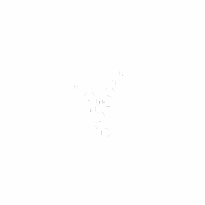 CC(=O)N1CCN(c2ccc(NC(=O)C(=Cc3c[nH]c4ccccc34)NS(=O)(=O)c3ccc(C)cc3)cc2)CC1